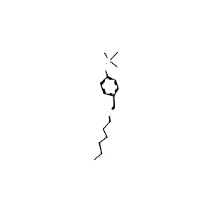 CCCCCC/N=C/c1ccc(S[Si](C)(C)C)cc1